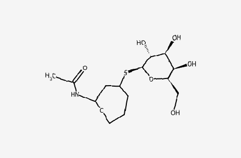 CC(=O)NC1CCCCC(S[C@@H]2O[C@H](CO)[C@H](O)[C@H](O)[C@H]2O)C1